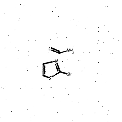 Brc1nccs1.NC=O